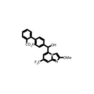 COc1cn2c(C(O)c3ccc(-c4ccccc4C(=O)O)cc3)cc(C(F)(F)F)cc2n1